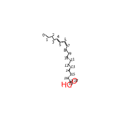 CCCC/C=C/C=C\CCCCCCCCCC(=O)O